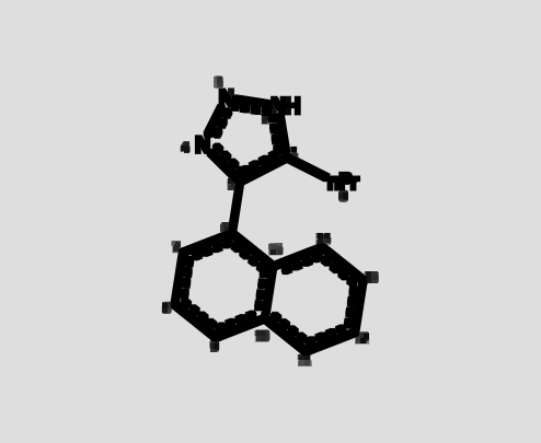 CCCc1[nH]nnc1-c1cccc2ccccc12